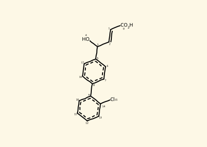 O=C(O)C=CC(O)c1ccc(-c2ccccc2Cl)cc1